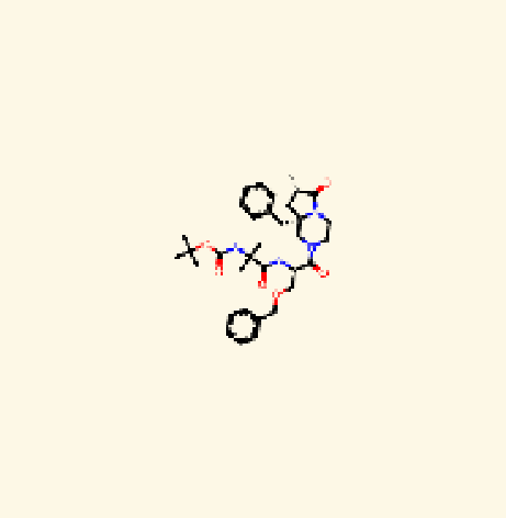 C[C@H]1C[C@]2(Cc3ccccc3)CN(C(=O)[C@@H](COCc3ccccc3)NC(=O)C(C)(C)NC(=O)OC(C)(C)C)CCN2C1=O